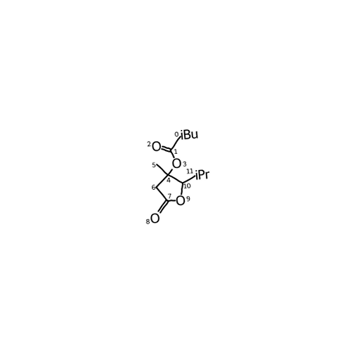 CCC(C)C(=O)OC1(C)CC(=O)OC1C(C)C